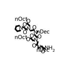 CCCCCCCCCCN(CC(N)=O)C(=O)CN(CC(=O)OCCCCCCCC)C(=O)CN(CCCCCCCCCC)C(=O)CN(CC(=O)OCCCCCCCC)C(=O)CN1CCCCC1